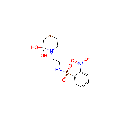 O=[N+]([O-])c1ccccc1S(=O)(=O)NCCN1CCSCC1(O)O